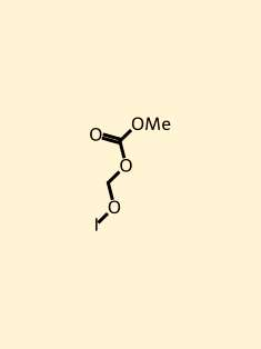 COC(=O)OCOI